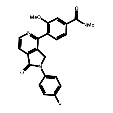 CNC(=O)c1ccc(-c2nccc3c2CN(c2ccc(F)cc2)C3=O)c(OC)c1